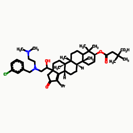 CC(C)C1=C2[C@H]3CC[C@@H]4[C@@]5(C)CC[C@H](OC(=O)CC(C)(C)C(=O)O)C(C)(C)C5CC[C@@]4(C)[C@]3(C)CCC2(C(O)CN(CCN(C)C)Cc2cccc(Cl)c2)CC1=O